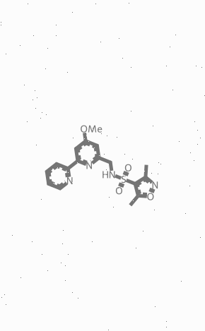 COc1cc(CNS(=O)(=O)c2c(C)noc2C)nc(-c2ccccn2)c1